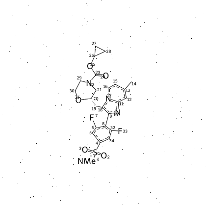 CNS(=O)(=O)c1cc(F)c(-c2nc3cc(C)ccn3c2C[C@H]2CN(C(=O)OC3CC3)CCO2)c(F)c1